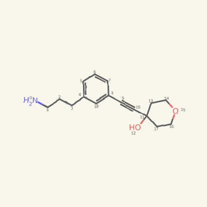 NCCCc1cccc(C#CC2(O)CCOCC2)c1